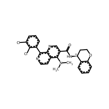 CN(C)c1c(C(=O)N[C@H]2CCOc3ccccc32)cnc2c(-c3cccc(Cl)c3Cl)nccc12